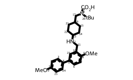 COc1ccc(-c2ccc(OC)c(CNC3CCC(CN(C(=O)O)C(C)(C)C)CC3)c2)cc1